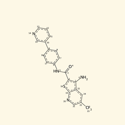 Nc1c(C(=O)Nc2ccc(-c3cccnc3)cc2)sc2ncc(C(F)(F)F)cc12